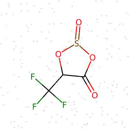 O=C1OS(=O)OC1C(F)(F)F